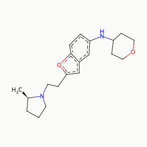 C[C@@H]1CCCN1CCc1cc2cc(NC3CCOCC3)ccc2o1